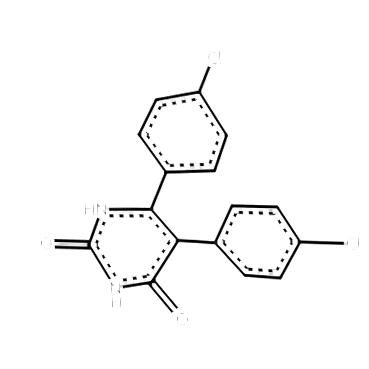 O=c1[nH]c(-c2ccc(Cl)cc2)c(-c2ccc(Cl)cc2)c(=O)[nH]1